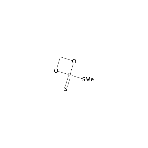 CSP1(=S)OCO1